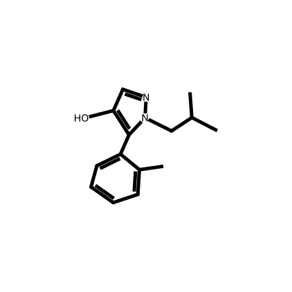 Cc1ccccc1-c1c(O)cnn1CC(C)C